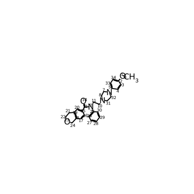 COc1ccc(N2CCN(CCN(C(=O)c3ccc4c(c3)CCOC4)c3ccccc3)CC2)cc1